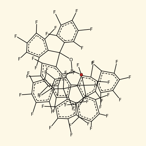 Fc1c(F)c(F)c(C(OB(OC(c2c(F)c(F)c(F)c(F)c2F)(c2c(F)c(F)c(F)c(F)c2F)c2c(F)c(F)c(F)c(F)c2F)OC(c2c(F)c(F)c(F)c(F)c2F)(c2c(F)c(F)c(F)c(F)c2F)c2c(F)c(F)c(F)c(F)c2F)(c2c(F)c(F)c(F)c(F)c2F)c2c(F)c(F)c(F)c(F)c2F)c(F)c1F